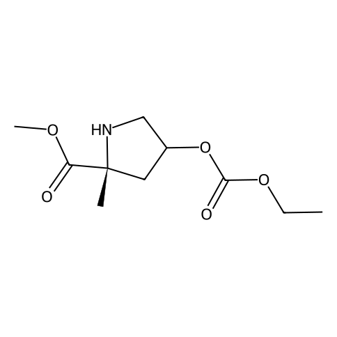 CCOC(=O)OC1CN[C@@](C)(C(=O)OC)C1